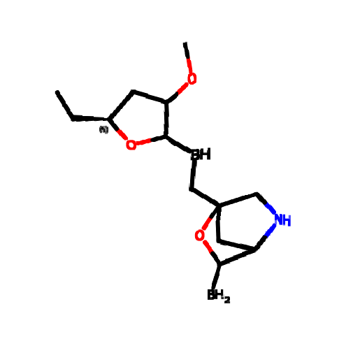 BC1OC2(CBC3O[C@@H](CC)CC3OC)CNC1C2